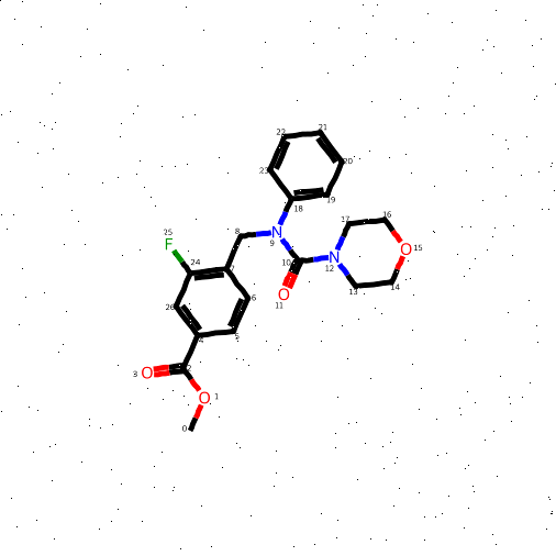 COC(=O)c1ccc(CN(C(=O)N2CCOCC2)c2ccccc2)c(F)c1